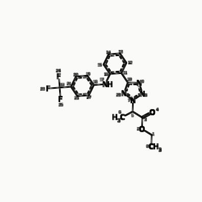 CCOC(=O)C(C)n1nnc(-c2ccccc2Nc2ccc(C(F)(F)F)cc2)n1